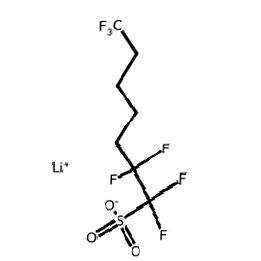 O=S(=O)([O-])C(F)(F)C(F)(F)CCCCC(F)(F)F.[Li+]